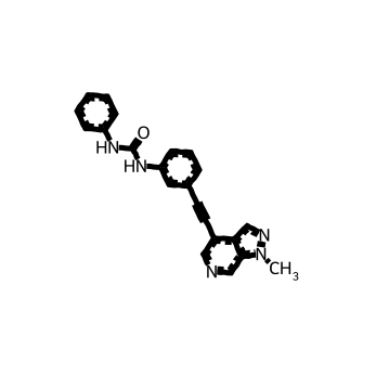 Cn1ncc2c(C#Cc3cccc(NC(=O)Nc4ccccc4)c3)cncc21